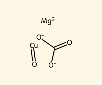 O=C([O-])[O-].[Mg+2].[O]=[Cu]